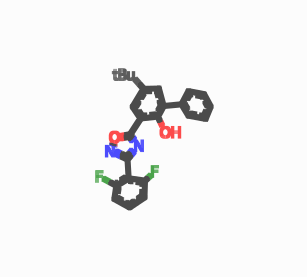 CC(C)(C)c1cc(-c2ccccc2)c(O)c(-c2nc(-c3c(F)cccc3F)no2)c1